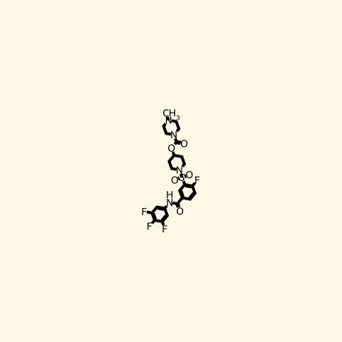 CN1CCN(C(=O)OC2CCN(S(=O)(=O)c3cc(C(=O)Nc4cc(F)c(F)c(F)c4)ccc3F)CC2)CC1